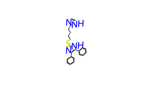 c1ccc(-c2nc(SCCCCc3ncc[nH]3)[nH]c2-c2ccccc2)cc1